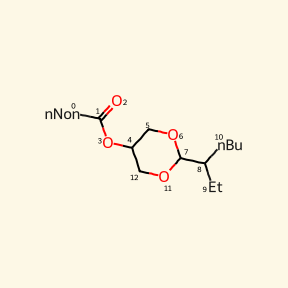 CCCCCCCCCC(=O)OC1COC(C(CC)CCCC)OC1